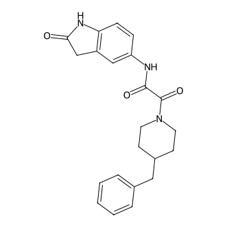 O=C1Cc2cc(NC(=O)C(=O)N3CCC(Cc4ccccc4)CC3)ccc2N1